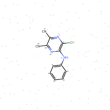 [C-]#[N+]c1nc(Cl)c(Nc2ccccc2)nc1[N+]#[C-]